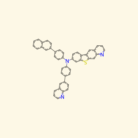 c1ccc2cc(-c3ccc(N(c4ccc(-c5ccc6ncccc6c5)cc4)c4ccc5c(c4)sc4cc6ncccc6cc45)cc3)ccc2c1